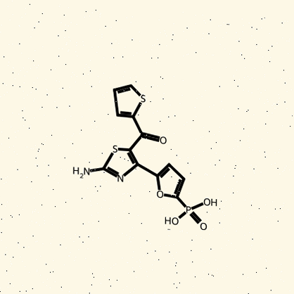 Nc1nc(-c2ccc(P(=O)(O)O)o2)c(C(=O)c2cccs2)s1